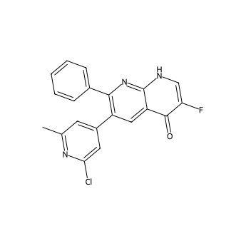 Cc1cc(-c2cc3c(=O)c(F)c[nH]c3nc2-c2ccccc2)cc(Cl)n1